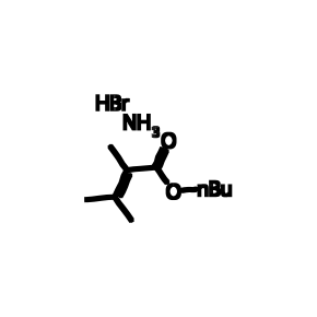 Br.CCCCOC(=O)C(C)=C(C)C.N